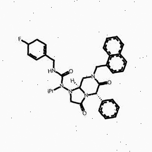 CC(C)N(C(=O)NCC1=CCC(F)C=C1)N1CC(=O)N2[C@@H](c3ccccc3)C(=O)N(Cc3cccc4ccccc34)C[C@@H]21